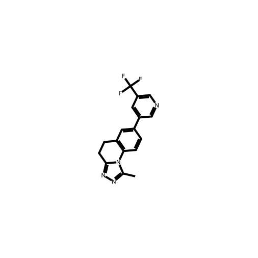 Cc1nnc2n1-c1ccc(-c3cncc(C(F)(F)F)c3)cc1CC2